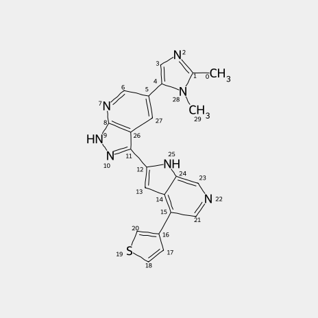 Cc1ncc(-c2cnc3[nH]nc(-c4cc5c(-c6ccsc6)cncc5[nH]4)c3c2)n1C